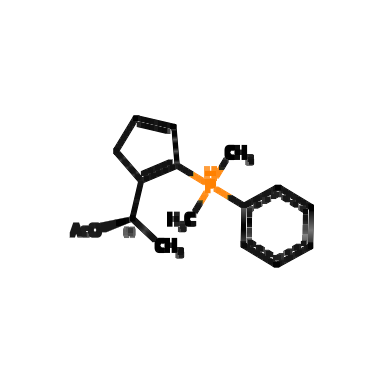 CC(=O)O[C@H](C)C1=C([PH](C)(C)c2ccccc2)C=CC1